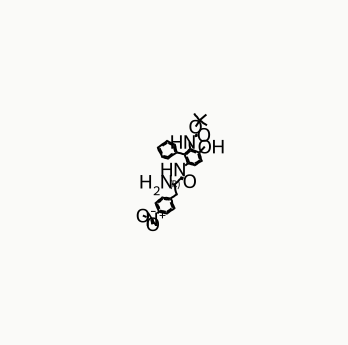 CC(C)(C)OC(=O)Nc1c(O)ccc(NC(=O)[C@H](N)Cc2ccc([N+](=O)[O-])cc2)c1-c1ccccc1